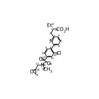 CC[C@@H](Cc1cccc(-c2ccc(S(=O)(=O)N(C)CC3CO3)cc2Cl)n1)C(=O)O